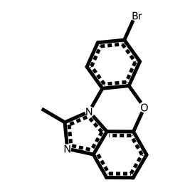 Cc1nc2cccc3c2n1-c1ccc(Br)cc1O3